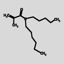 C=C(C)C(=O)N(CCCCC)CCCCCC